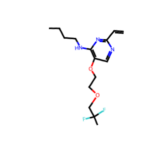 C=Cc1ncc(OCCOCC(C)(F)F)c(NCCCC)n1